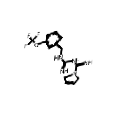 N=C(NCc1cccc(OC(F)(F)F)c1)NC(=N)N1CC=CC1